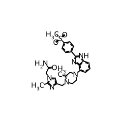 Cc1nc(CN2CCN(c3cccc4[nH]c(-c5ccc(S(C)(=O)=O)cc5)nc34)C[C@@H]2C)cn1CC(N)=O